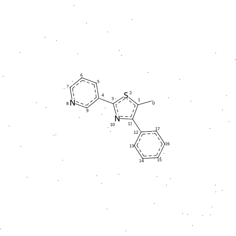 Cc1sc(-c2cccnc2)nc1-c1cc[c]cc1